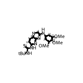 COc1cc(Nc2cnc3ccc(NC(=S)NC(C)(C)C)nc3n2)cc(OC)c1OC